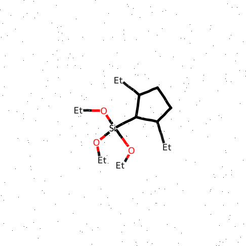 CCO[Si](OCC)(OCC)C1C(CC)CCC1CC